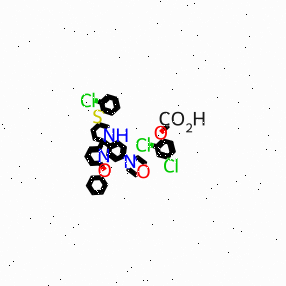 Clc1ccccc1SC1CCC(c2ccc(N3CCOCC3)cc2)(c2cccc(OC3CCCCC3)n2)NC1.O=C(O)COc1ccc(Cl)cc1Cl